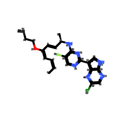 C\C=C/C=C(\C=C\[C@H](C)Nc1nc(-c2c[nH]c3ncc(Cl)nc23)ncc1F)OCCNC